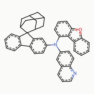 c1ccc2c(c1)-c1ccc(N(c3ccc4ncccc4c3)c3cccc4oc5ccccc5c34)cc1C21C2CC3CC(C2)CC1C3